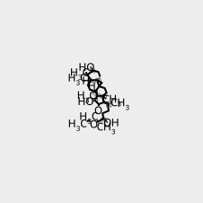 CCOC(C)(C)[C@H](O)C1C[C@@H](C)C2C(O1)[C@H](O)[C@@]1(C)[C@@H]3CC[C@H]4C(C)(C)[C@@H](O)CC[C@@]45CC35CC[C@]21C